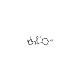 Cn1nccc1C(=O)Nc1ccc(Br)cc1F